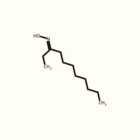 CCCCCCCC/C(CC)=N/O